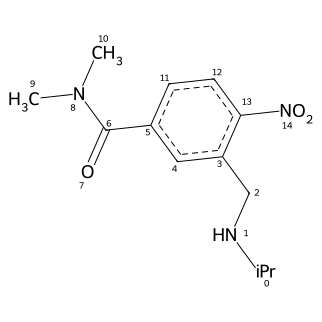 CC(C)NCc1cc(C(=O)N(C)C)ccc1[N+](=O)[O-]